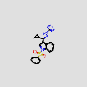 N=C(N)NN=C(c1cn(S(=O)(=O)c2ccccc2)c2ccccc12)C1CC1